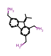 CC(C)=C1c2cc(CP)ccc2-c2cc(CP)cc(CP)c21